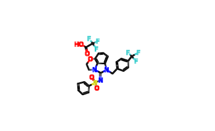 O=C(O)C(F)(F)F.O=S(=O)(N=c1n(Cc2ccc(C(F)(F)F)cc2)c2cccc3c2n1CCO3)c1ccccc1